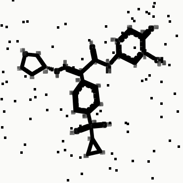 Cn1cc(NC(=O)/C(=N/O[C@@H]2CCOC2)c2ccc(S(=O)(=O)C3CC3)cc2)ncc1=O